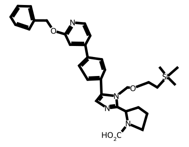 C[Si](C)(C)CCOCn1c(-c2ccc(-c3ccnc(OCc4ccccc4)c3)cc2)cnc1C1CCCN1C(=O)O